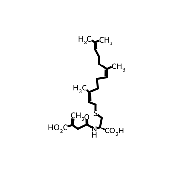 C=C(CC(=O)N[C@@H](CSCC=C(C)CCC=C(C)CCC=C(C)C)C(=O)O)C(=O)O